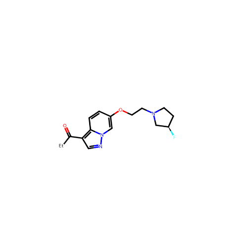 CCC(=O)c1cnn2cc(OCCN3CC[C@@H](F)C3)ccc12